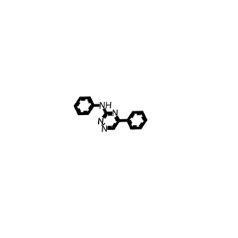 c1ccc(Nc2nncc(-c3ccccc3)n2)cc1